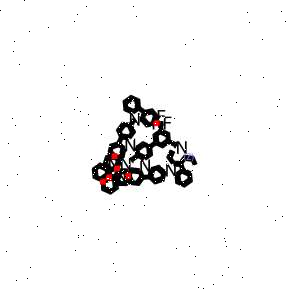 C=Cc1c(/C=C\C)c2ccccc2n1-c1ccc2c3ccc(-n4c5ccccc5c5ccccc54)cc3n(-c3cc(-c4cc(C#N)cc(C(F)(F)F)c4)cc(-n4c5cc(-n6c7ccccc7c7ccccc76)ccc5c5ccc(-n6c7ccccc7c7ccccc76)cc54)c3C#N)c2c1